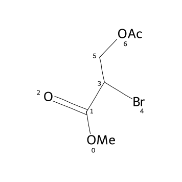 COC(=O)C(Br)COC(C)=O